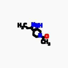 CCc1n[nH]c2c1CCN(C(C)=O)C2